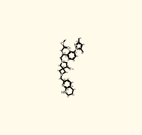 COC(=O)C[C@H](CN1CC(F)C2(C1)CN(Cc1ccc3c(n1)NCCC3)C2)c1cccc(-n2nc(C)cc2C)c1